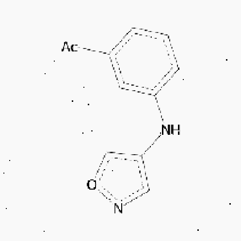 CC(=O)c1cccc(Nc2cnoc2)c1